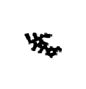 C#CCn1c(=O)c2c(nc(-c3cccc(OC)c3)n2C)n(CC#C)c1=O